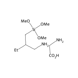 CCC(CN)C[Si](OC)(OC)OC.NCC(=O)O